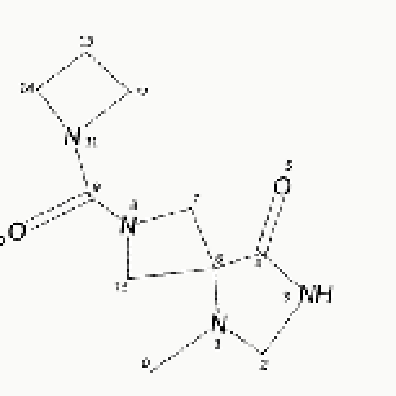 CN1CNC(=O)C12CN(C(=O)N1CCC1)C2